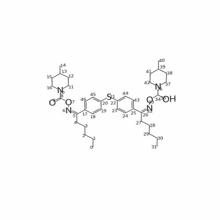 CCCCC/C(=N/OC(=O)N1CCC(C)CC1)c1ccc(Sc2ccc(/C(CCCCC)=N\OC(O)N3CCC(C)CC3)cc2)cc1